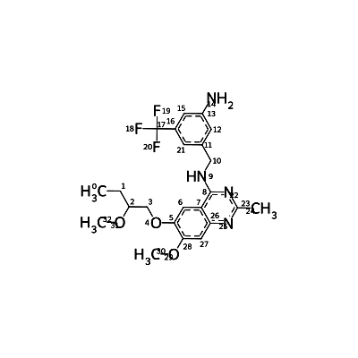 CCC(COc1cc2c(NCc3cc(N)cc(C(F)(F)F)c3)nc(C)nc2cc1OC)OC